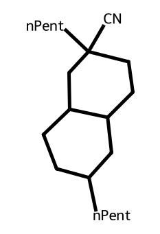 CCCCCC1CCC2CC(C#N)(CCCCC)CCC2C1